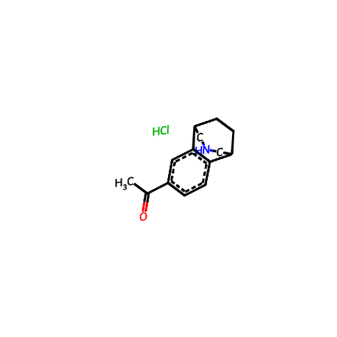 CC(=O)c1ccc2c(c1)C1CCC2CNC1.Cl